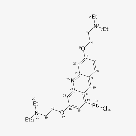 CCN(CC)CCOc1ccc2cc3[c]([Pt][Cl])cc(OCCN(CC)CC)cc3nc2c1